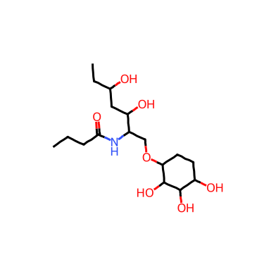 CCCC(=O)NC(COC1CCC(O)C(O)C1O)C(O)CC(O)CC